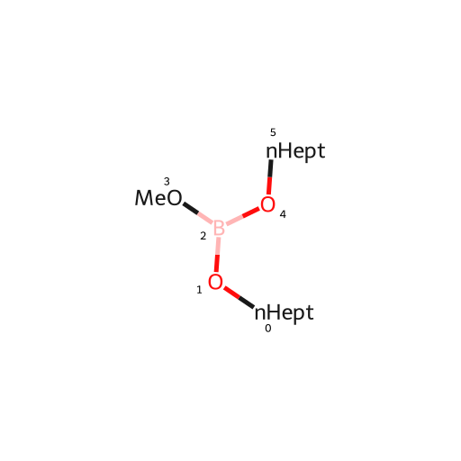 CCCCCCCOB(OC)OCCCCCCC